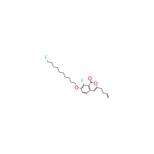 C=CCCc1cc2ccc(OCCCCCCCCCCF)c(F)c2c(=O)o1